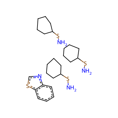 NSC1CCCCC1.NSC1CCCCC1.NSC1CCCCC1.c1ccc2scnc2c1